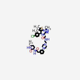 C=C1CCC(NC(=O)Cc2cccc(N3CCN(CCNC(=O)C[C@@H]4N=C(c5ccc(Cl)cc5)c5c(sc(C)c5C)-n5c(C)nnc54)CC3)c2)C(=O)N1